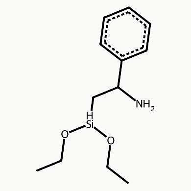 CCO[SiH](CC(N)c1ccccc1)OCC